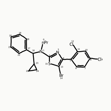 CCCN(c1nc(-c2ccc(Cl)cc2Cl)c(Br)s1)C(c1ccccc1)C1CC1